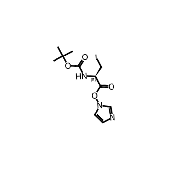 CC(C)(C)OC(=O)N[C@@H](CI)C(=O)On1ccnc1